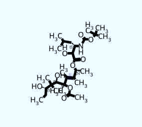 CC[C@H](O)C(C)(C)[C@@H](O)[C@](C)(OC(C)=O)/C(C)=C(\C)[C@H](C)OC(=O)C(O)[C@H](CC(C)C)NC(=O)OC(C)(C)C